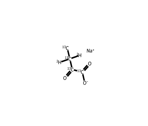 [2H][13C]([2H])([13CH3])[13C](=O)[13C](=O)[O-].[Na+]